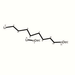 [Li][CH2]CCCCCCCCC.[Li][CH2]CCCCCCCCCCCCCCCCC